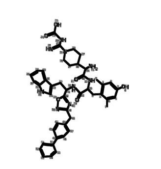 Cc1cc(O)cc(C)c1CC(NC(=O)C(N)C1CCN(C(=N)NC(=O)O)CC1)C(=O)NC(Cc1c[nH]c2ccccc12)c1nc(Cc2ccc(-c3ccccc3)cc2)no1